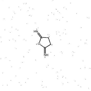 N=C1CCC(=N)O1